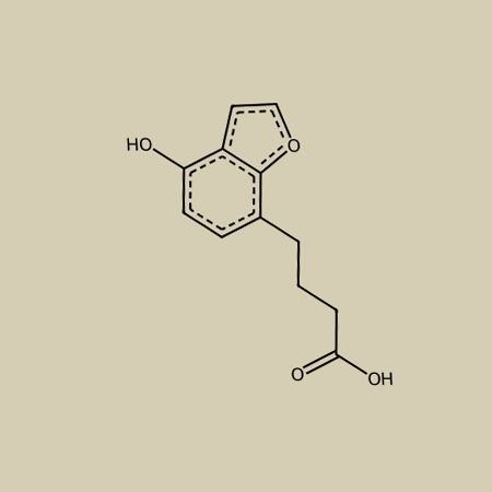 O=C(O)CCCc1ccc(O)c2ccoc12